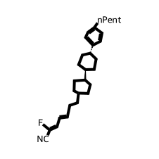 CCCCCc1ccc([C@H]2CC[C@H](C3CCC(CC/C=C/C=C(\F)C#N)CC3)CC2)cc1